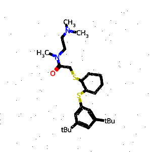 CN(C)CCN(C)C(=O)CSC1CCCCC1Sc1cc(C(C)(C)C)cc(C(C)(C)C)c1